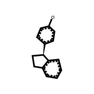 Clc1ccc([C@@H]2CCc3ccccc32)cc1